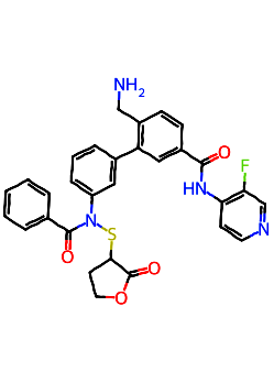 NCc1ccc(C(=O)Nc2ccncc2F)cc1-c1cccc(N(SC2CCOC2=O)C(=O)c2ccccc2)c1